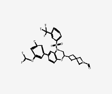 O=CN1CC2(CC(C3CN(S(=O)(=O)c4cccc(C(F)(F)F)c4)c4cc(-c5cc(F)cc(OC(F)F)c5)ccc4O3)C2)C1